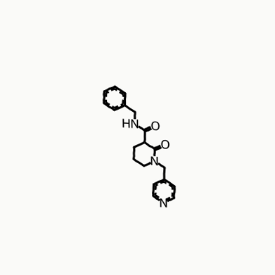 O=C(NCc1ccccc1)C1CCCN(Cc2ccncc2)C1=O